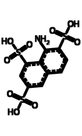 Nc1c(S(=O)(=O)O)ccc2cc(S(=O)(=O)O)cc(S(=O)(=O)O)c12